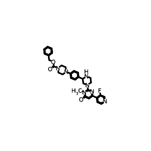 Cn1c(N2CCNC(c3ccc(N4CCN(C(=O)OCc5ccccc5)CC4)cc3)C2)nc(-c2ccncc2F)cc1=O